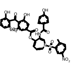 Cc1ccc([N+](=O)[O-])cc1S(=O)(=O)N1C=CC=C(OC(=O)c2cc(O)c(C(=O)c3c(O)cccc3C(=O)O)c(O)c2)C(NC(=O)c2ccc(O)cc2)=C1